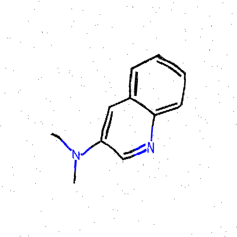 CN(C)c1[c]nc2ccccc2c1